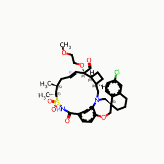 COCCO[C@@]1(C=O)/C=C/C[C@H](C)[C@@H](C)S(=O)(=O)NC(=O)c2ccc3c(c2)N(C[C@@H]2CC[C@H]21)C[C@@]1(CCCc2cc(Cl)ccc21)CO3